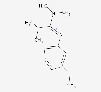 CCc1cccc(/N=C(\C(C)C)N(C)C)c1